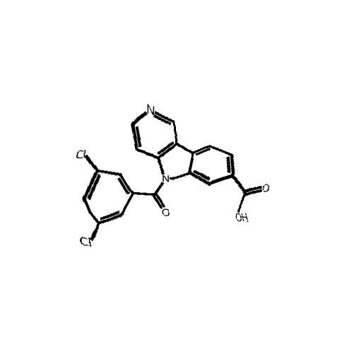 O=C(O)c1ccc2c3cnccc3n(C(=O)c3cc(Cl)cc(Cl)c3)c2c1